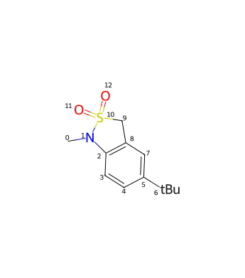 CN1c2ccc(C(C)(C)C)cc2CS1(=O)=O